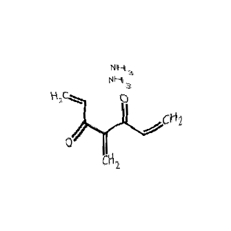 C=CC(=O)C(=C)C(=O)C=C.N.N